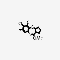 COC1=Nc2cc(C)c(Cl)c(Cl)c2SC2CCCC12